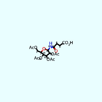 CC(=O)OCC1OC(NC(=O)CCC(=O)O)C(OC(C)=O)C(OC(C)=O)C1OC(C)=O